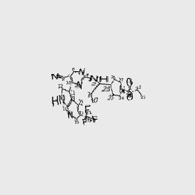 CCC(Nc1ncc(C#N)c(C2CNc3ncc(C(F)(F)F)cc32)n1)C1CCN(S(=O)(=O)CC)CC1